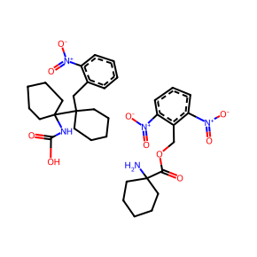 NC1(C(=O)OCc2c([N+](=O)[O-])cccc2[N+](=O)[O-])CCCCC1.O=C(O)NC1(C2(Cc3ccccc3[N+](=O)[O-])CCCCC2)CCCCC1